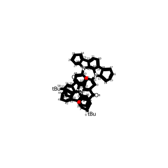 CC(C)(C)c1ccc2c(c1)c(=O)c1cc(-n3c4ccccc4c4ccc5c6ccccc6n(-c6ccc(-n7c8ccccc8c8ccccc87)cc6)c5c43)cc3c(=O)c4cc(C(C)(C)C)ccc4n2c13